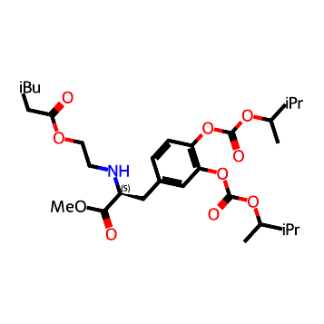 CCC(C)CC(=O)OCCN[C@@H](Cc1ccc(OC(=O)OC(C)C(C)C)c(OC(=O)OC(C)C(C)C)c1)C(=O)OC